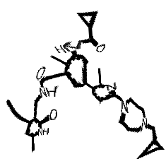 Cc1cc(C)c(CNC(=O)c2cc(-c3ccc(N4CCN(CC5CC5)CC4)nc3C)cc(NC(=O)C3CC3)c2C)c(=O)[nH]1